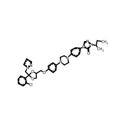 CCC(C)n1ncn(-c2ccc(N3CCN(c4ccc(OCC5COC(Cn6cccn6)(c6ccccc6Cl)O5)cc4)CC3)cc2)c1=O